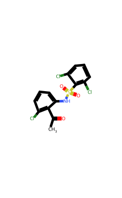 CC(=O)c1c(Cl)cccc1NS(=O)(=O)c1c(Cl)cccc1Cl